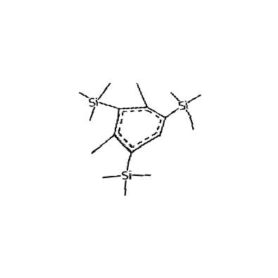 Cc1c([Si](C)(C)C)cc([Si](C)(C)C)c(C)c1[Si](C)(C)C